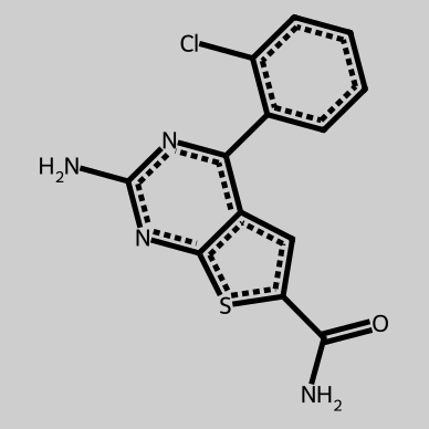 NC(=O)c1cc2c(-c3ccccc3Cl)nc(N)nc2s1